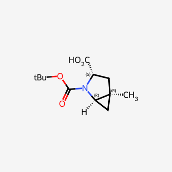 CC(C)(C)OC(=O)N1[C@H](C(=O)O)C[C@@]2(C)C[C@@H]12